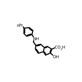 CCCc1ccc(NCc2ccc3cc(O)c(C(=O)O)cc3c2)cc1